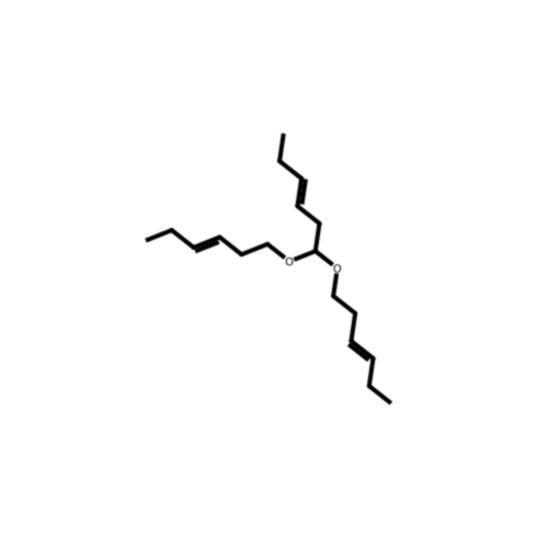 CCC=CCCOC(CC=CCC)OCCC=CCC